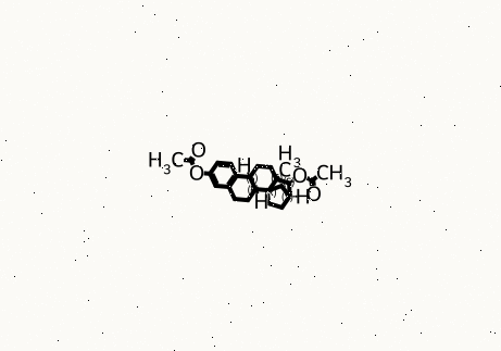 CC(=O)Oc1ccc2c(c1)CC[C@@H]1[C@@H]2CC[C@]2(C)[C@@H](OC(C)=O)[C@H]3CC[C@@]12C3